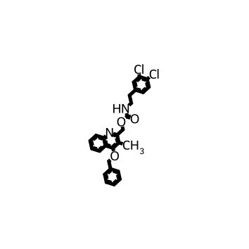 Cc1c(COC(=O)NCCc2ccc(Cl)c(Cl)c2)nc2ccccc2c1OCc1ccccc1